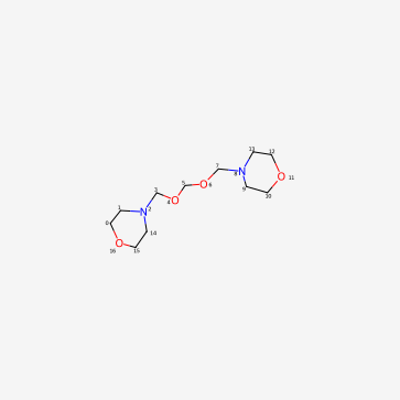 C1CN(COCOCN2CCOCC2)CCO1